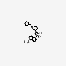 Nc1nccc2c(-n3nc(C4CCCN(CCC5CCCCC5)C4)[nH]c3=O)cccc12